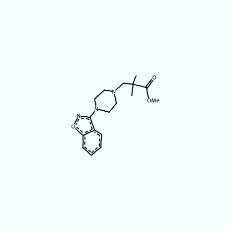 COC(=O)C(C)(C)CN1CCN(c2noc3ccccc23)CC1